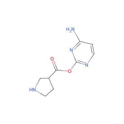 Nc1ccnc(OC(=O)C2CCNC2)n1